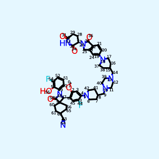 COc1cc(N2CCC(CN3CCN(CC4CCN(c5ccc6c(c5)CN([C@H]5CCC(=O)NC5=O)C6=O)CC4)CC3)CC2)c(F)cc1[C@@H]1N(c2cccc(F)c2O)C(=O)C12CCC(C#N)CC2